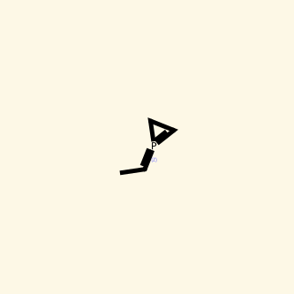 C/C=P1=CC/1